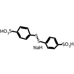 O=S(=O)(O)c1ccc(SSc2ccc(S(=O)(=O)O)cc2)cc1.[NaH]